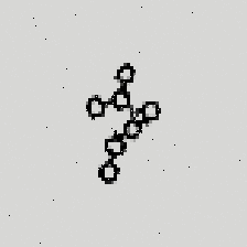 CC1(C2=CC3=C(CC2)C2(C)CCCCC2N3C2C=C(C3C=CC=CC3)C=C(C3=CC=CCC3)C2)C=CC(C2C=CC=CC2)=CC1